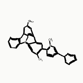 Cc1cc2c(cc1-c1ccc(-c3ccccc3)c[n+]1C)c1cc(C(C)(C)C)cc3c4ccccc4n2c31